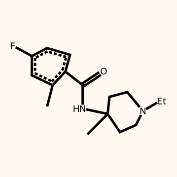 CCN1CCC(C)(NC(=O)c2ccc(F)cc2C)CC1